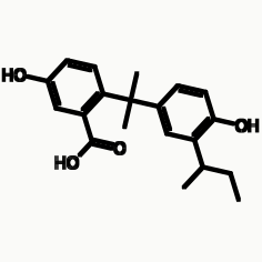 CCC(C)c1cc(C(C)(C)c2ccc(O)cc2C(=O)O)ccc1O